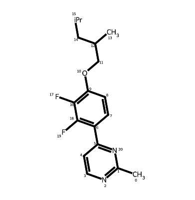 Cc1nccc(-c2ccc(OCC(C)CC(C)C)c(F)c2F)n1